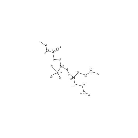 CCOC(=O)CCN(CCN(CCOC)CCOC)S(C)(C)C